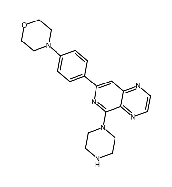 c1cnc2c(N3CCNCC3)nc(-c3ccc(N4CCOCC4)cc3)cc2n1